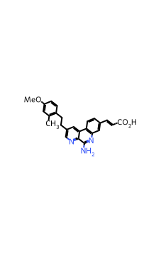 COc1ccc(CCc2cnc3c(N)nc4cc(C=CC(=O)O)ccc4c3c2)c(C)c1